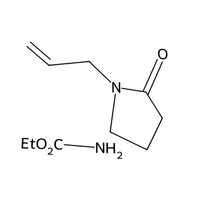 C=CCN1CCCC1=O.CCOC(N)=O